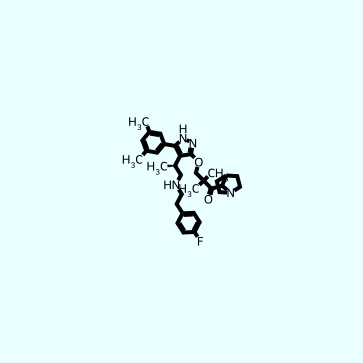 Cc1cc(C)cc(-c2[nH]nc(OCC(C)(C)C(=O)C3C4CCN3CC4)c2[C@H](C)CNCCc2ccc(F)cc2)c1